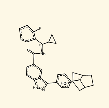 O=C(N[C@@H](c1ccccc1F)C1CC1)c1ccc2[nH]nc(-c3ccc(N4C5CCC4CC(O)C5)cc3)c2c1